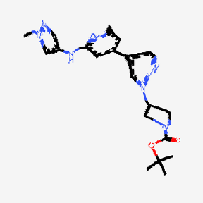 Cn1cc(Nc2cc(-c3cnn(C4CN(C(=O)OC(C)(C)C)C4)c3)ccn2)cn1